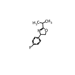 CC(C)C1=NC(c2ccc(F)cc2)CO1